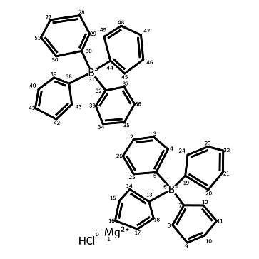 Cl.[Mg+2].c1ccc([B-](c2ccccc2)(c2ccccc2)c2ccccc2)cc1.c1ccc([B-](c2ccccc2)(c2ccccc2)c2ccccc2)cc1